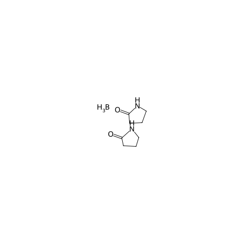 B.O=C1CCCN1.O=C1CCCN1